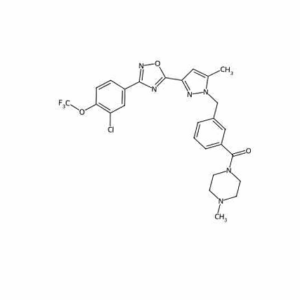 Cc1cc(-c2nc(-c3ccc(OC(F)(F)F)c(Cl)c3)no2)nn1Cc1cccc(C(=O)N2CCN(C)CC2)c1